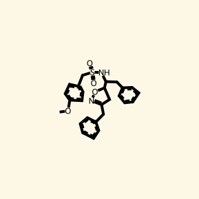 COc1ccc(CS(=O)(=O)NC(Cc2ccccc2)C2CC(Cc3ccccc3)=NO2)cc1